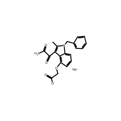 Cc1c(C(=O)C(N)=O)c2c(OCC(=O)[O-])cccc2n1Cc1ccccc1.[Na+]